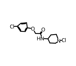 O=C(COc1ccc(Cl)cc1)NC1CCN(Cl)CC1